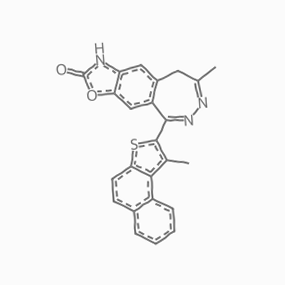 CC1=NN=C(c2sc3ccc4ccccc4c3c2C)c2cc3oc(=O)[nH]c3cc2C1